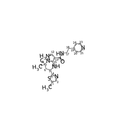 Cc1cnc(C2CC(C)(C)n3ncc(C(=O)NCCc4ccncc4)c3N2)s1